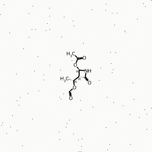 CC(=O)O[C@H]1NC(=O)[C@@H]1[C@@H](C)OC=O